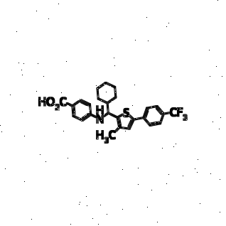 Cc1cc(-c2ccc(C(F)(F)F)cc2)sc1C(Nc1ccc(C(=O)O)cc1)C1CCCCC1